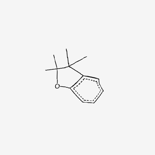 CC1(C)Oc2ccccc2C1(C)C